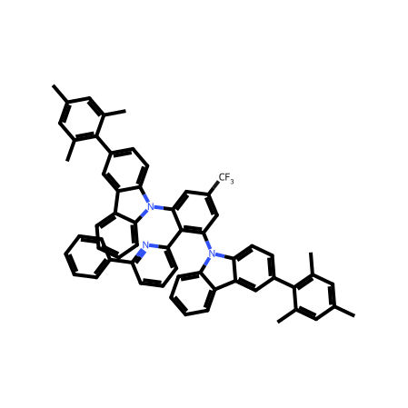 Cc1cc(C)c(-c2ccc3c(c2)c2ccccc2n3-c2cc(C(F)(F)F)cc(-n3c4ccccc4c4cc(-c5c(C)cc(C)cc5C)ccc43)c2-c2cccc(-c3ccccc3)n2)c(C)c1